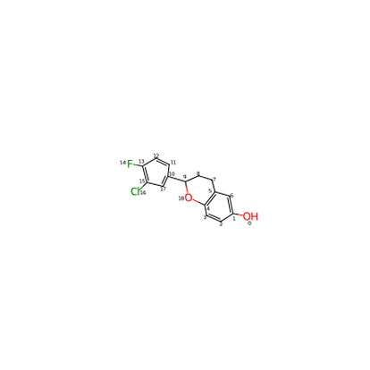 Oc1ccc2c(c1)CCC(c1ccc(F)c(Cl)c1)O2